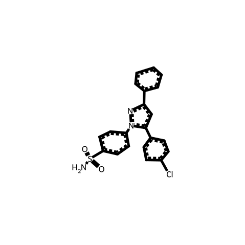 NS(=O)(=O)c1ccc(-n2nc(-c3ccccc3)cc2-c2ccc(Cl)cc2)cc1